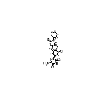 Nc1nn(-c2cc(Cl)c(OC3=CC(C4CCCCC4)C(=O)N=N3)c(Cl)c2)c(=O)[nH]c1=O